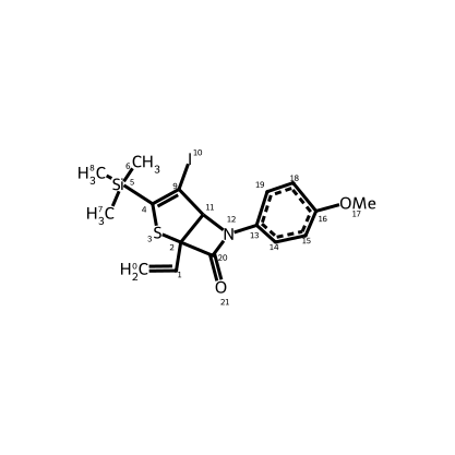 C=CC12SC([Si](C)(C)C)=C(I)C1N(c1ccc(OC)cc1)C2=O